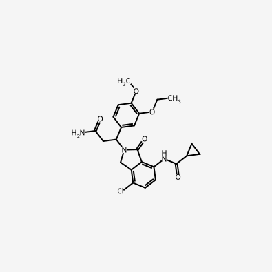 CCOc1cc(C(CC(N)=O)N2Cc3c(Cl)ccc(NC(=O)C4CC4)c3C2=O)ccc1OC